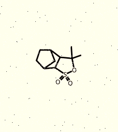 CC1(C)OS(=O)(=O)C2C3CCC(C3)C21